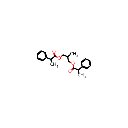 CC(COC(=O)C(C)c1ccccc1)COC(=O)C(C)c1ccccc1